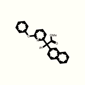 COC(=O)C(c1ccc2ccccc2c1)(c1cccc(Oc2ccccc2)n1)C(C)C